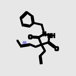 C=CCC1(C/C=C/C)C(=O)NN(Cc2ccccc2)C1=O